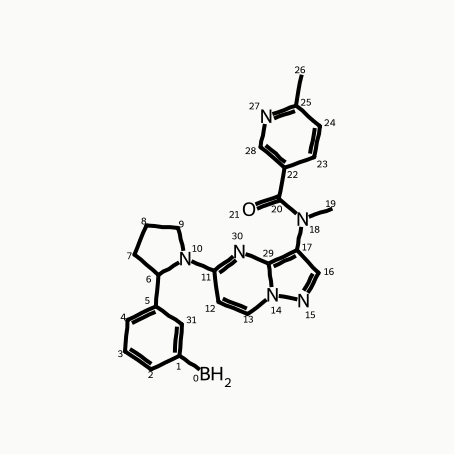 Bc1cccc(C2CCCN2c2ccn3ncc(N(C)C(=O)c4ccc(C)nc4)c3n2)c1